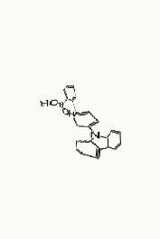 OB(O)c1ccccc1-c1ccc(N2c3ccccc3C3C=CC=CC32)cc1